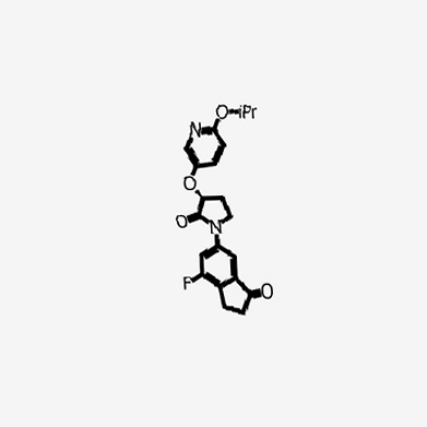 CC(C)Oc1ccc(O[C@H]2CCN(c3cc(F)c4c(c3)C(=O)CC4)C2=O)cn1